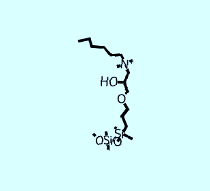 CCCCCC[N+](C)(C)CC(O)COCCC[Si](C)(C)O[Si](C)(C)OC